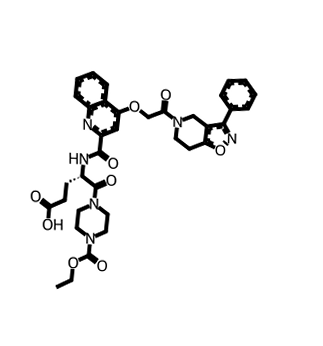 CCOC(=O)N1CCN(C(=O)[C@H](CCC(=O)O)NC(=O)c2cc(OCC(=O)N3CCc4onc(-c5ccccc5)c4C3)c3ccccc3n2)CC1